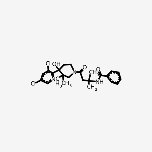 CC(C)(CC(=O)N1CCC(O)(c2ncc(Cl)cc2Cl)C(C)(C)C1)NC(=O)c1ccccc1